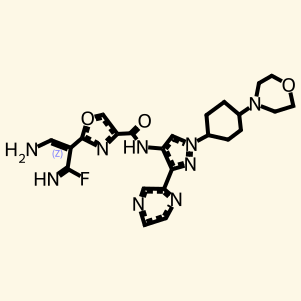 N=C(F)/C(=C\N)c1nc(C(=O)Nc2cn(C3CCC(N4CCOCC4)CC3)nc2-c2cnccn2)co1